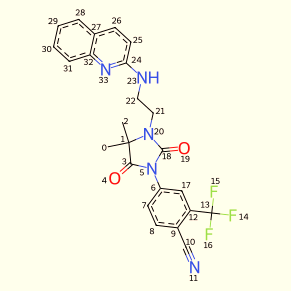 CC1(C)C(=O)N(c2ccc(C#N)c(C(F)(F)F)c2)C(=O)N1CCNc1ccc2ccccc2n1